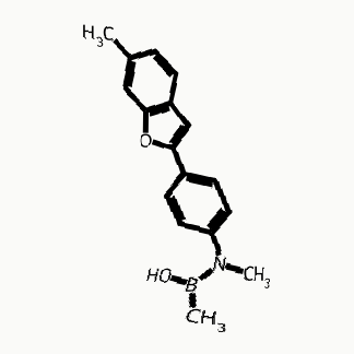 CB(O)N(C)c1ccc(-c2cc3ccc(C)cc3o2)cc1